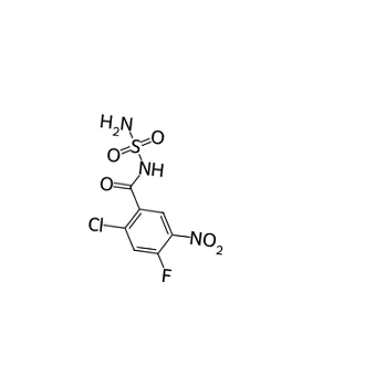 NS(=O)(=O)NC(=O)c1cc([N+](=O)[O-])c(F)cc1Cl